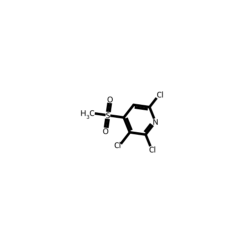 CS(=O)(=O)c1cc(Cl)nc(Cl)c1Cl